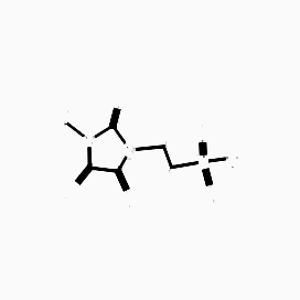 C=C1C(=O)N(CCS(=O)(=O)O)C(=O)N1Cl